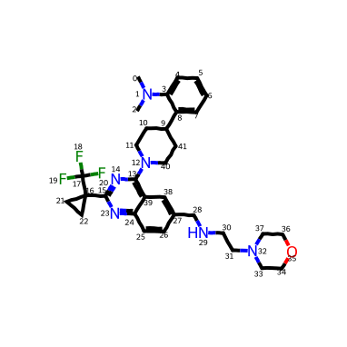 CN(C)c1ccccc1C1CCN(c2nc(C3(C(F)(F)F)CC3)nc3ccc(CNCCN4CCOCC4)cc23)CC1